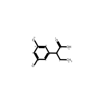 CCC(C(=O)O)c1cc(Cl)cc(Cl)c1